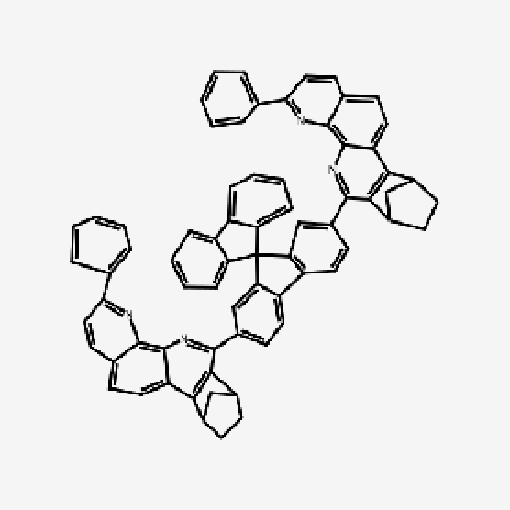 c1ccc(-c2ccc3ccc4c5c(c(-c6ccc7c(c6)C6(c8ccccc8-c8ccccc86)c6cc(-c8nc9c(ccc%10ccc(-c%11ccccc%11)nc%109)c9c8C8CCC9C8)ccc6-7)nc4c3n2)C2CCC5C2)cc1